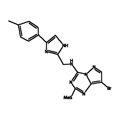 CSc1nc(NCc2nc(-c3ccc(C)cc3)c[nH]2)n2ncc(Br)c2n1